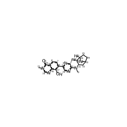 CN(c1cnc(-c2ccc3c(=O)n(C)cnc3c2O)cn1)[C@@H]1CC2CC[C@H](N2)[C@@H]1F